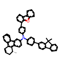 C[C@@H]1CC=Cc2c1c1ccc(N(c3ccc(-c4ccc5c(c4)C(C)(C)c4ccccc4-5)cc3)c3ccc(-c4cccc5c4oc4ccccc45)cc3)cc1c1c#cccc21